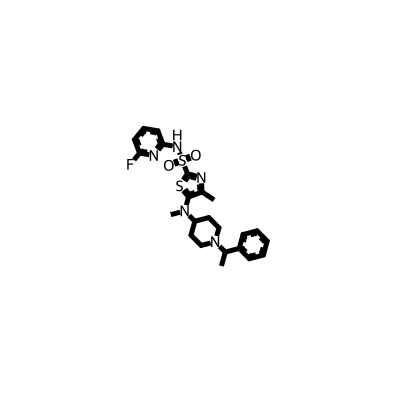 Cc1nc(S(=O)(=O)Nc2cccc(F)n2)sc1N(C)C1CCN(C(C)c2ccccc2)CC1